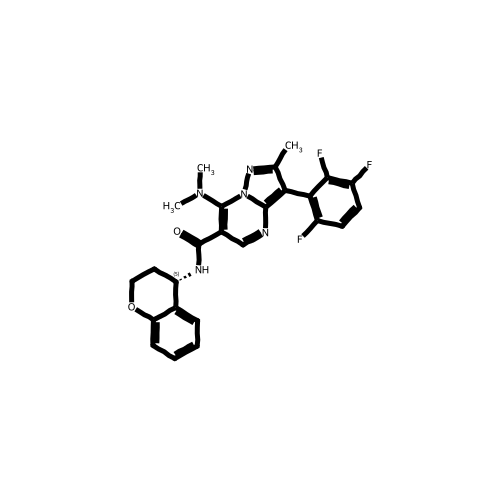 Cc1nn2c(N(C)C)c(C(=O)N[C@H]3CCOc4ccccc43)cnc2c1-c1c(F)ccc(F)c1F